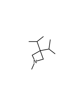 CC(C)C1(C(C)C)CN(C)C1